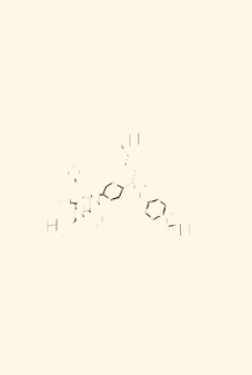 CCCCCC(OCc1ccc(OC)cc1)c1ccc(N2C(=O)N(P)C(=O)[C@@H]2CC=O)cc1